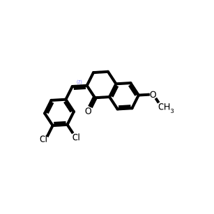 COc1ccc2c(c1)CC/C(=C/c1ccc(Cl)c(Cl)c1)C2=O